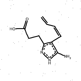 C=C/C=C\c1c(CCC(=O)O)n[nH]c1N